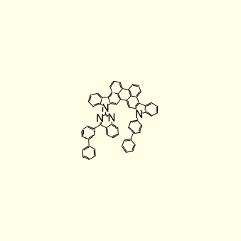 c1ccc(-c2ccc(-n3c4ccccc4c4c5cccc6c7cccc8c7c(cc7c8c8ccccc8n7-c7nc(-c8cccc(-c9ccccc9)c8)c8ccccc8n7)c(cc43)c65)cc2)cc1